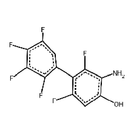 Nc1c(O)cc(F)c(-c2cc(F)c(F)c(F)c2F)c1F